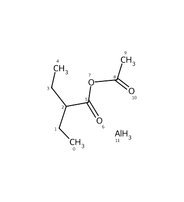 CCC(CC)C(=O)OC(C)=O.[AlH3]